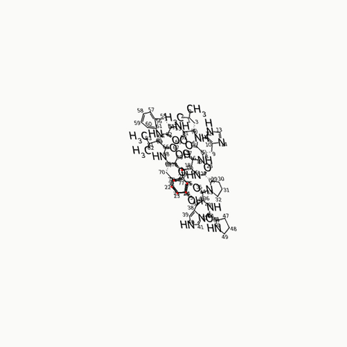 CC(C)C[C@H](NC(=O)[C@H](Cc1c[nH]cn1)NC(=O)[C@H](Cc1ccccc1)NC(=O)[C@@H]1CCCN1C(=O)[C@H](Cc1c[nH]cn1)NC(=O)[C@@H]1CCCN1)C(=O)N[C@@H](Cc1ccccc1)C(=O)N[C@H](C(=O)N[C@@H](Cc1ccc(O)cc1)C(=O)O)C(C)C